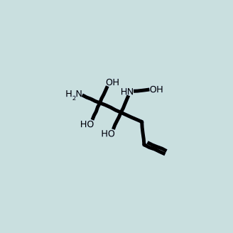 C=CCC(O)(NO)C(N)(O)O